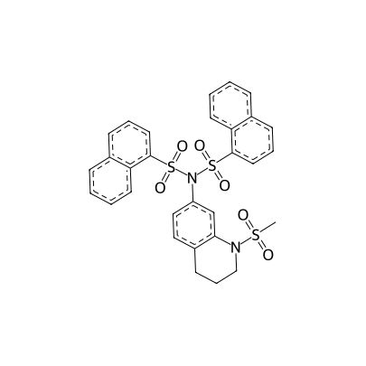 CS(=O)(=O)N1CCCc2ccc(N(S(=O)(=O)c3cccc4ccccc34)S(=O)(=O)c3cccc4ccccc34)cc21